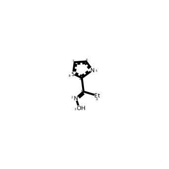 CC/C(=N\O)c1nccs1